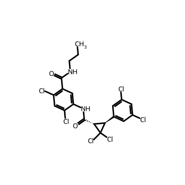 CCCNC(=O)c1cc(NC(=O)[C@@H]2[C@@H](c3cc(Cl)cc(Cl)c3)C2(Cl)Cl)c(Cl)cc1Cl